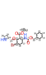 CC(C)(C)OC(=O)c1c(NC(=O)OCc2ccccc2)ccc(Br)c1OC[C@H]1CCN1